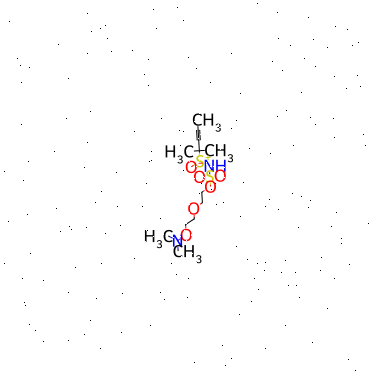 CC#CC(C)(C)[S+]([O-])NS(=O)(=O)OCCOCCON(C)C